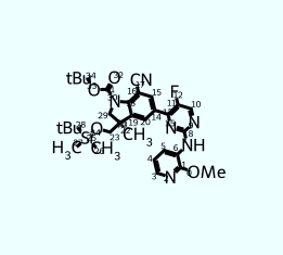 COc1ncccc1Nc1ncc(F)c(-c2cc(C#N)c3c(c2)[C@@](C)(CO[Si](C)(C)C(C)(C)C)CN3C(=O)OC(C)(C)C)n1